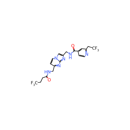 O=C(CCC(F)(F)F)NCc1ccn2cc(CNC(=O)c3ccnc(CC(F)(F)F)c3)nc2n1